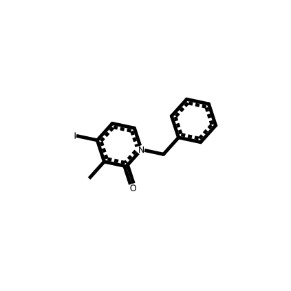 Cc1c(I)ccn(Cc2ccccc2)c1=O